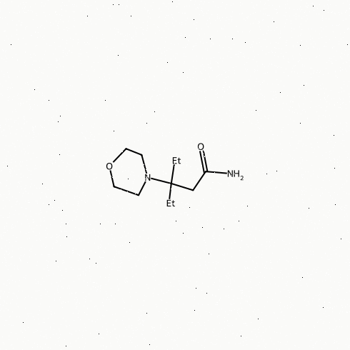 CCC(CC)(CC(N)=O)N1CCOCC1